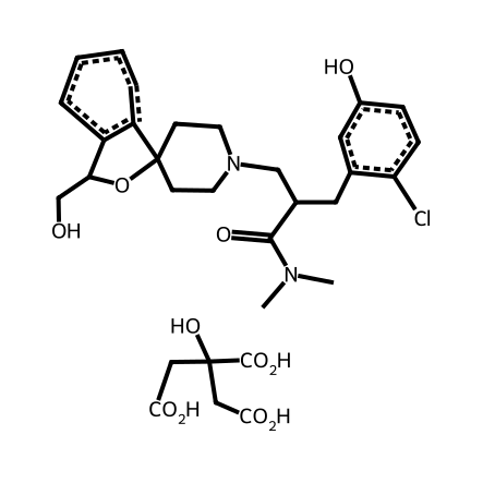 CN(C)C(=O)C(Cc1cc(O)ccc1Cl)CN1CCC2(CC1)OC(CO)c1ccccc12.O=C(O)CC(O)(CC(=O)O)C(=O)O